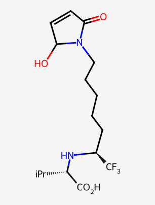 CC(C)[C@H](N[C@@H](CCCCCN1C(=O)C=CC1O)C(F)(F)F)C(=O)O